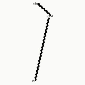 CCCCC=CCCCCCCCC(=O)OCCCCCCCCCCCCCCCCCCCCCCCCCCCCCCCCCCCCCC(C)C